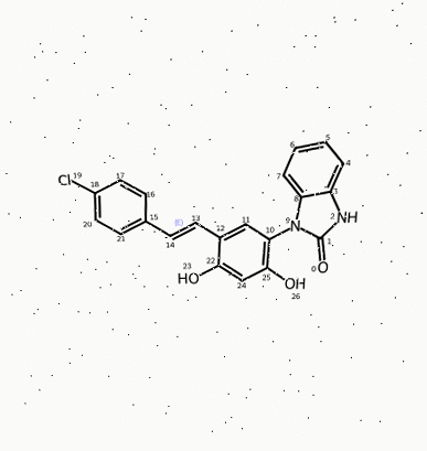 O=c1[nH]c2ccccc2n1-c1cc(/C=C/c2ccc(Cl)cc2)c(O)cc1O